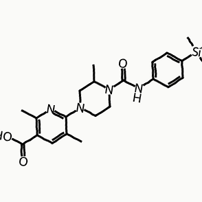 Cc1cc(C(=O)O)c(C)nc1N1CCN(C(=O)Nc2ccc([Si](C)(C)C)cc2)C(C)C1